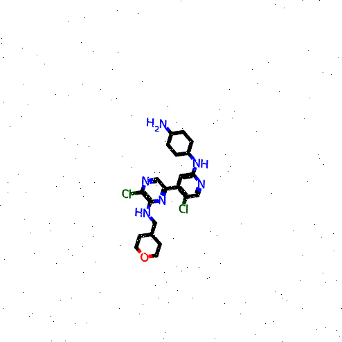 NC1CCC(Nc2cc(-c3cnc(Cl)c(NCC4CCOCC4)n3)c(Cl)cn2)CC1